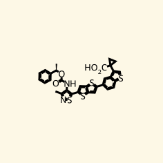 Cc1nsc(-c2cc3sc(-c4ccc5scc(C6(C(=O)O)CC6)c5c4)cc3s2)c1NC(=O)O[C@H](C)c1ccccc1